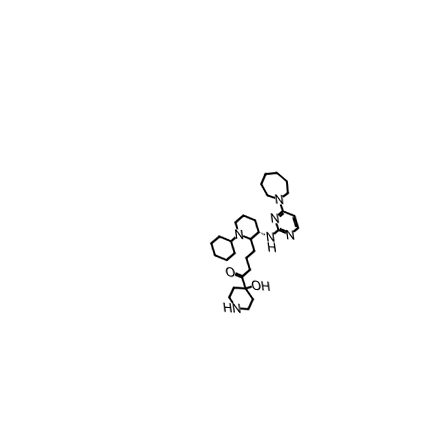 O=C(CCCC1[C@@H](Nc2nccc(N3CCCCCC3)n2)CCCN1C1CCCCC1)C1(O)CCNCC1